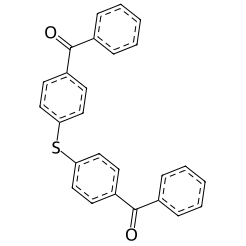 O=C(c1ccccc1)c1ccc(Sc2ccc(C(=O)c3ccccc3)cc2)cc1